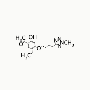 CCc1cc(C(C)=O)c(O)cc1OCCCCc1nnn(C)n1